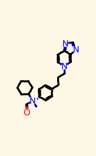 C[N+](C=O)(c1ccc(CCCn2ccc3ncnc-3c2)cc1)C1CCCCC1